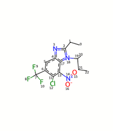 CCc1nc2cc(C(F)(F)F)c(Cl)c([N+](=O)[O-])c2n1C(C)CC